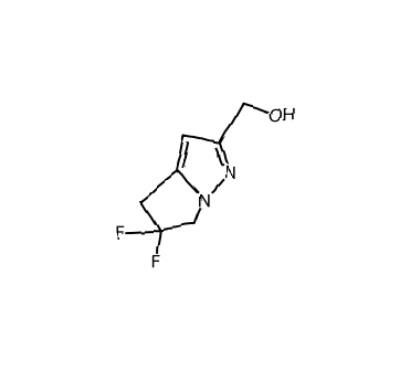 OCc1cc2n(n1)CC(F)(F)C2